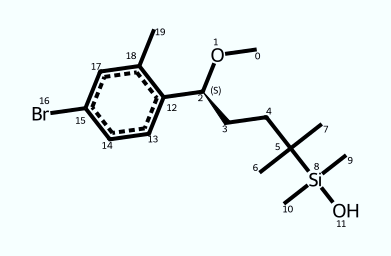 CO[C@@H](CCC(C)(C)[Si](C)(C)O)c1ccc(Br)cc1C